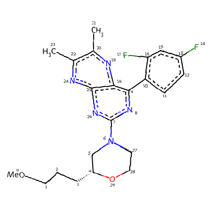 COCCC[C@@H]1CN(c2nc(-c3ccc(F)cc3F)c3nc(C)c(C)nc3n2)CCO1